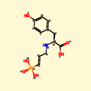 O=C(O)[C@H](Cc1ccc(O)cc1)NCC=CP(=O)(O)O